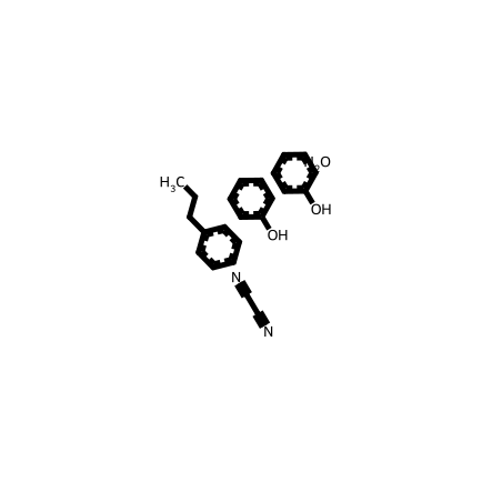 CCCc1ccccc1.N#CC#N.O.Oc1ccccc1.Oc1ccccc1